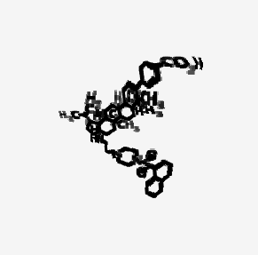 C=C(C)[C@@H]1CC[C@]2(NCCN3CCN(S(=O)(=O)c4cccc5ccccc45)CC3)CC[C@]3(C)[C@H](CC[C@@H]4[C@@]5(C)CC=C(c6ccc(C(=O)O)cc6)C(C)(C)[C@@H]5CC[C@]43C)[C@@H]12